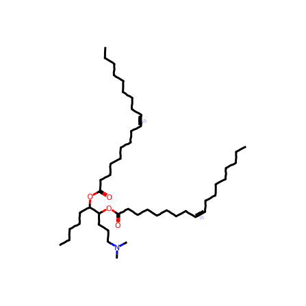 CCCCCCCC/C=C\CCCCCCCC(=O)OC(CCCCC)C(CCCN(C)C)OC(=O)CCCCCCC/C=C\CCCCCCCC